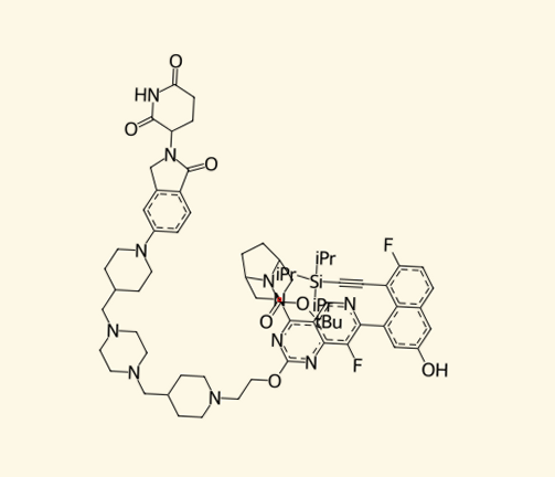 CC(C)[Si](C#Cc1c(F)ccc2cc(O)cc(-c3ncc4c(N5CC6CCC(C5)N6C(=O)OC(C)(C)C)nc(OCCN5CCC(CN6CCN(CC7CCN(c8ccc9c(c8)CN(C8CCC(=O)NC8=O)C9=O)CC7)CC6)CC5)nc4c3F)c12)(C(C)C)C(C)C